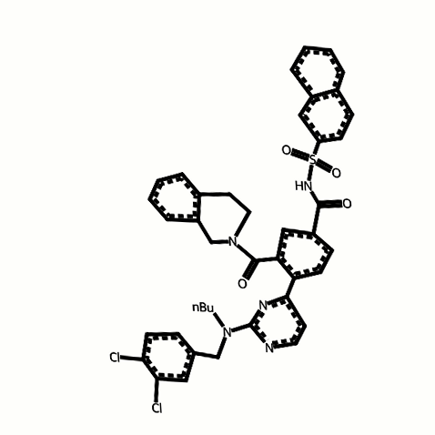 CCCCN(Cc1ccc(Cl)c(Cl)c1)c1nccc(-c2ccc(C(=O)NS(=O)(=O)c3ccc4ccccc4c3)cc2C(=O)N2CCc3ccccc3C2)n1